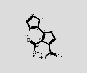 O=C(O)C1=CCC(C2=CC=CC2)=C1C(=O)O